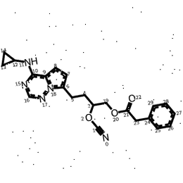 N#COC(CCc1ccc2c(NC3CC3)ncnn12)COC(=O)Cc1ccccc1